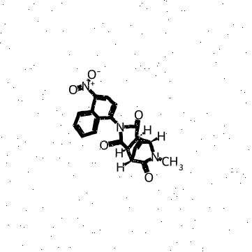 CN1C(=O)[C@H]2C=C[C@@H]1[C@@H]1C(=O)N(c3ccc([N+](=O)[O-])c4ccccc34)C(=O)[C@@H]12